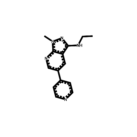 CCNc1nn(C)c2ncc(-c3ccncc3)cc12